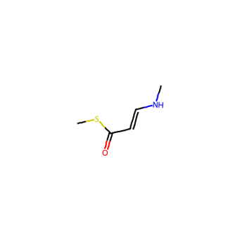 CNC=CC(=O)SC